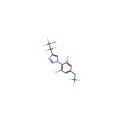 FC(F)(F)Cc1cc(Cl)c(-n2cnc(C(F)(F)C(F)(F)Br)c2)c(Cl)c1